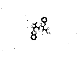 Cc1noc(-n2cc3ccccc3n2)c1C(=O)N[C@@H](Cc1ccccc1)C(=O)C(N)=O